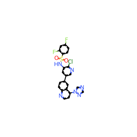 O=S(=O)(Nc1cc(-c2ccc3nccc(-n4cncn4)c3c2)cnc1Cl)c1ccc(F)cc1F